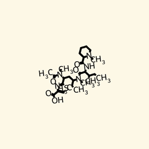 CCC(C)C(NC(=O)C1CCCCN1C)C(=O)N(C)C(CC(c1nc(C(=O)O)cs1)N(C)C(C)=O)C(C)C